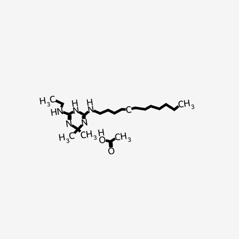 CC(=O)O.CCCCCCCCCCCCNC1=NC(C)(C)N=C(NCC)N1